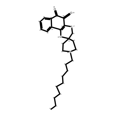 CCCCCCCCCCN1CCC2(CC1)CSC1=C(O2)c2ccccc2C(=O)C1=O